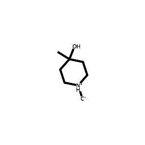 [CH2-][NH+]1CCC(C)(O)CC1